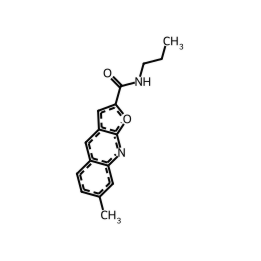 CCCNC(=O)c1cc2cc3ccc(C)cc3nc2o1